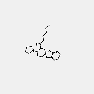 CCCCCNC1CC2(CCC1N1CCCC1)Cc1ccccc1C2